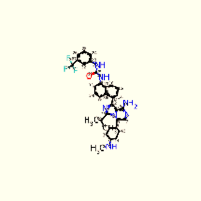 CNC1CC=C(c2cnc(N)c3c(-c4cccc5c(NC(=O)Nc6cccc(C(F)(F)F)c6)cccc45)nc(C(C)C)n23)CC1